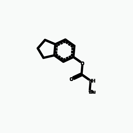 CC(C)(C)NC(=O)Oc1ccc2c(c1)CCC2